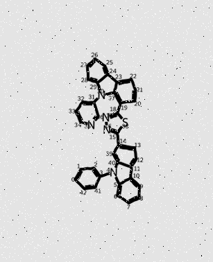 c1ccc(-n2c3ccccc3c3ccc(-c4nnc(-c5cccc6c7ccccc7n(-c7cccnc7)c56)s4)cc32)cc1